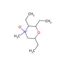 CCC1C[N+](C)([O-])C(CC)C(CC)O1